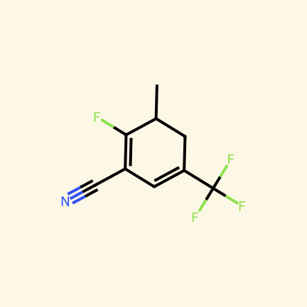 CC1CC(C(F)(F)F)=CC(C#N)=C1F